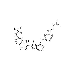 COc1ccc(OC(F)(F)F)cc1NC(=O)c1cc2cccc(Oc3ccnc(NCCN(C)C)n3)c2n1C